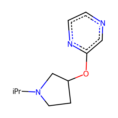 CC(C)N1CCC(Oc2cnccn2)C1